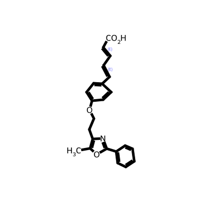 Cc1oc(-c2ccccc2)nc1CCOc1ccc(/C=C/C=C/C(=O)O)cc1